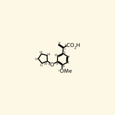 C=C(C(=O)O)c1ccc(OC)c(OC2CCCC2)c1